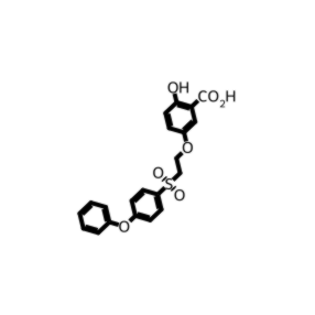 O=C(O)c1cc(OCCS(=O)(=O)c2ccc(Oc3ccccc3)cc2)ccc1O